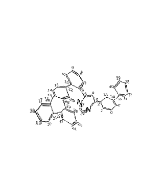 C1=CC(c2cc(-c3ccccc3-c3ccc4c5ccccc5c5ccccc5c4c3)ncn2)CC(c2ccccc2)=C1